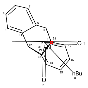 CCCCN1C(=O)C2C3c4ccccc4C(c4ccccc43)C2C1=O